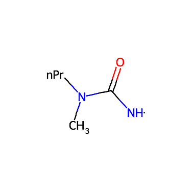 CCCN(C)C([NH])=O